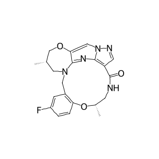 C[C@@H]1COc2cn3ncc4c3nc2N(Cc2cc(F)ccc2O[C@@H](C)CNC4=O)C1